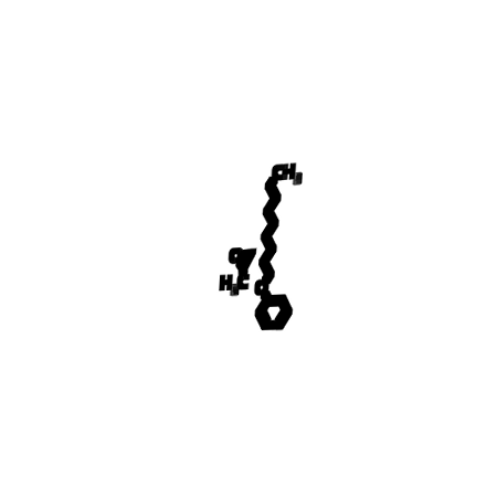 CC1CO1.CCCCCCCCCOc1ccccc1